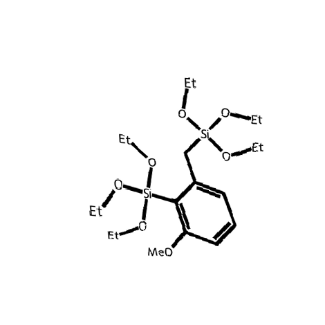 CCO[Si](Cc1cccc(OC)c1[Si](OCC)(OCC)OCC)(OCC)OCC